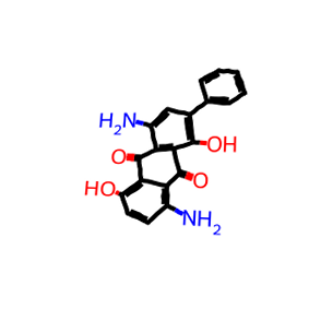 Nc1ccc(O)c2c1C(=O)c1c(O)c(-c3ccccc3)cc(N)c1C2=O